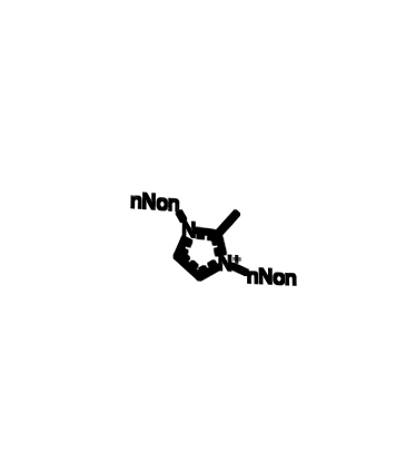 CCCCCCCCCn1cc[n+](CCCCCCCCC)c1C